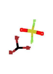 BrC(Br)Br.O=S(=O)(F)F